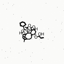 C=C[C@@H](O)O[C@H]1C[C@H]2OC[C@@]2(OC(C)=O)C2[C@H](OC(=O)c3ccccc3)[C@]3(O)CCC(C)=C(CC[C@@]21C)C3(C)C